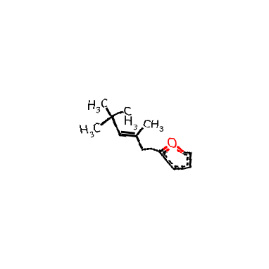 C/C(=C\C(C)(C)C)Cc1ccco1